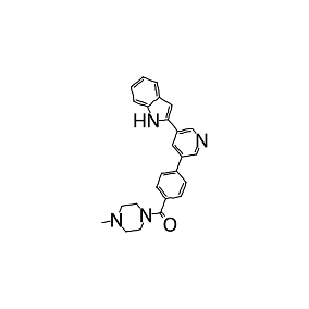 CN1CCN(C(=O)c2ccc(-c3cncc(-c4cc5ccccc5[nH]4)c3)cc2)CC1